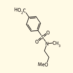 COCCN(C)S(=O)(=O)c1ccc(C(=O)O)cc1